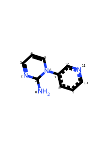 NC1N=CC=CN1c1cccnc1